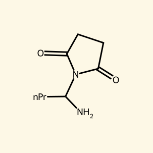 CCCC(N)N1C(=O)CCC1=O